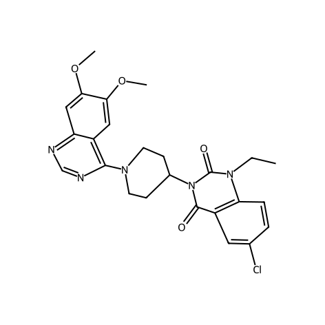 CCn1c(=O)n(C2CCN(c3ncnc4cc(OC)c(OC)cc34)CC2)c(=O)c2cc(Cl)ccc21